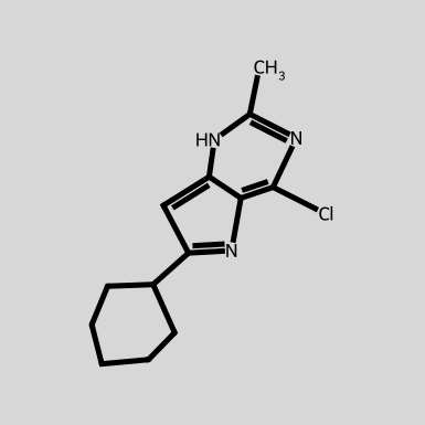 Cc1nc(Cl)c2nc(C3CCCCC3)cc-2[nH]1